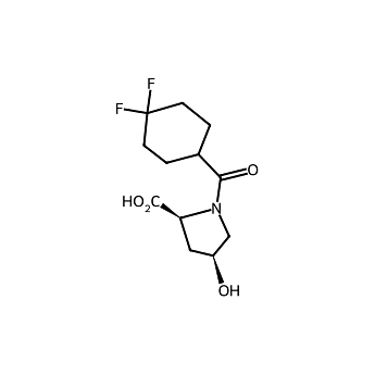 O=C(O)[C@@H]1C[C@H](O)CN1C(=O)C1CCC(F)(F)CC1